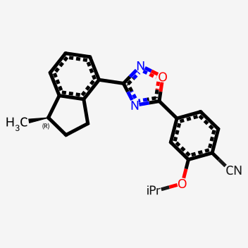 CC(C)Oc1cc(-c2nc(-c3cccc4c3CC[C@H]4C)no2)ccc1C#N